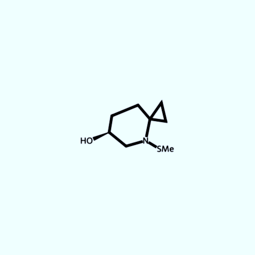 CSN1C[C@@H](O)CCC12CC2